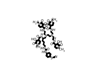 Cn1ccc(C(=O)NCCN(CCNC(=O)c2ccn(C)c(=O)c2O)CCN(CCNC(=O)c2ccn(C)c(=O)c2O)CC(CCCCNC(=O)Nc2ccc(SC#N)cc2)NC(=O)c2ccn(C)c(=O)c2O)c(O)c1=O